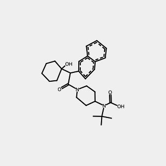 CC(C)(C)N(C(=O)O)C1CCN(C(=O)C(c2ccc3ccccc3c2)C2(O)CCCCC2)CC1